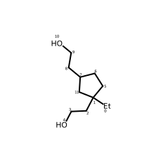 CCC1(CCO)CCC(CCO)C1